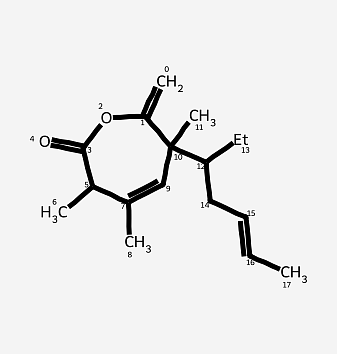 C=C1OC(=O)C(C)C(C)=CC1(C)C(CC)CC=CC